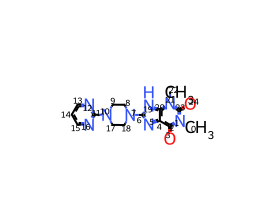 Cn1c(=O)c2nc(N3CCN(c4ncccn4)CC3)[nH]c2n(C)c1=O